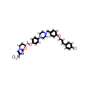 O=[N+]([O-])c1cn2c(n1)O[C@@H](COc1ccc(N3CCN(Cc4ccc(OC/C=C/c5ccc(Cl)cc5)cc4)CC3)cc1)CC2